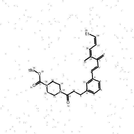 C=C(/C=C/c1cccc(CCC(=O)N2CCN(C(=O)OC(C)(C)C)CC2)c1)/C(C)=C\C=C/CC